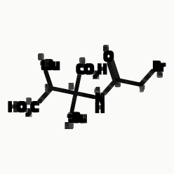 CC(C)(C)C(C(=O)O)C(NC(=O)CBr)(C(=O)O)C(C)(C)C